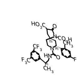 Cc1cc(F)ccc1[C@H]1C[C@@]2(CCN1C(=O)NC[C@H](C)c1cc(C(F)(F)F)cc(C(F)(F)F)c1)CC(C(=O)O)C(=O)N2C(=O)O